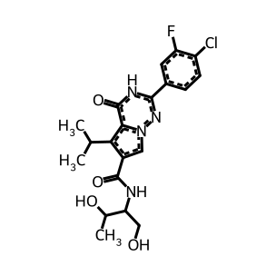 CC(C)c1c(C(=O)NC(CO)C(C)O)cn2nc(-c3ccc(Cl)c(F)c3)[nH]c(=O)c12